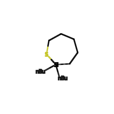 CCCC[Si]1(CCCC)CCCCCS1